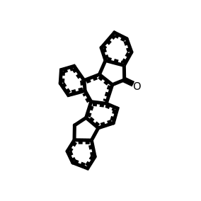 O=C1c2ccccc2-c2c1c1ccc3c(c1c1ccccc21)Cc1ccccc1-3